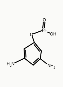 Nc1cc(N)cc(O[PH](=O)O)c1